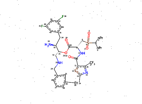 CCCC(CCC)S(=O)(=O)C[C@H](NC(=O)c1sc(C)nc1C(F)(F)F)C(=O)O[C@H](CNCc1cccc(CC)c1)[C@@H](N)Cc1cc(F)cc(F)c1